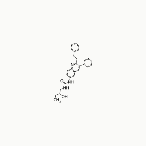 CCC(O)CNC(=O)Nc1ccc2nc(CCc3ccccc3)c(-c3ccccc3)cc2c1